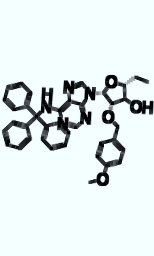 CC[C@H]1O[C@@H](n2cnc3c(NC(c4ccccc4)(c4ccccc4)c4ccccc4)ncnc32)[C@@H](OCc2ccc(OC)cc2)C1O